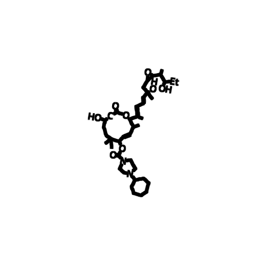 CCC(O)C(C)C1OC1CC(C)(O)/C=C/C=C(\C)C1OC(=O)CC(O)CCC(C)(C)C(OC(=O)N2CCN(C3CCCCCC3)CC2)/C=C/C1C